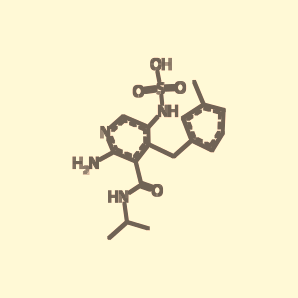 Cc1cccc(Cc2c(NS(=O)(=O)O)cnc(N)c2C(=O)NC(C)C)c1